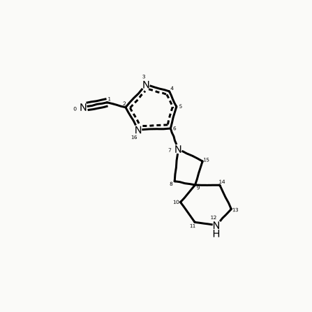 N#Cc1nccc(N2CC3(CCNCC3)C2)n1